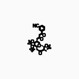 C[C@@H]([C@@H]1O[C@H]1C[C@@H]1OC[C@H](CC(=O)CC(=O)c2cccc(C#N)c2)[C@@H](O[Si](C)(C)C)[C@@H]1O[Si](C)(C)C)[C@H](C)O[Si](C)(C)C